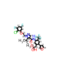 CC(C)c1c(C(=O)Nc2cc(CC(=O)O)c(-c3ccoc3)cc2C(F)(F)F)cnn1CCOc1cc(F)cc(F)c1Cl